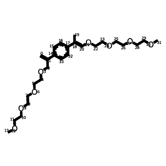 C=C(COCCOCCOCCOC)c1ccc(/C(C)=C/OCCOCCOCCOC)cc1